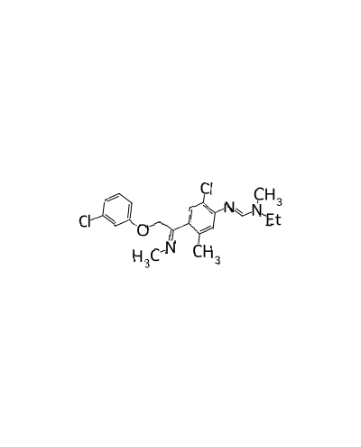 CCN(C)C=Nc1cc(C)c(C(COc2cccc(Cl)c2)=NC)cc1Cl